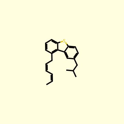 C/C=C\C=C/Cc1cccc2sc3ccc(CC(C)C)cc3c12